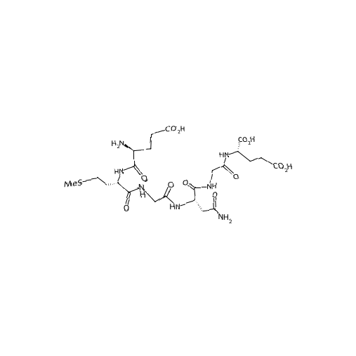 CSCC[C@H](NC(=O)[C@@H](N)CCC(=O)O)C(=O)NCC(=O)N[C@@H](CC(N)=O)C(=O)NCC(=O)N[C@@H](CCC(=O)O)C(=O)O